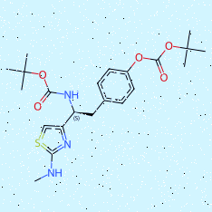 CNc1nc([C@H](Cc2ccc(OC(=O)OC(C)(C)C)cc2)NC(=O)OC(C)(C)C)cs1